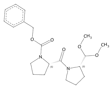 COC(OC)[C@@H]1CCCN1C(=O)[C@@H]1CCCN1C(=O)OCc1ccccc1